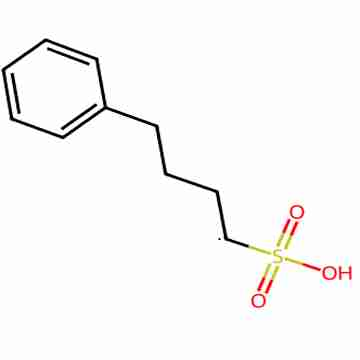 O=S(=O)(O)[CH]CCCc1ccccc1